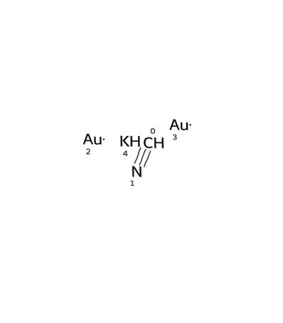 C#N.[Au].[Au].[KH]